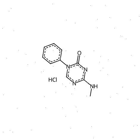 CNc1ncn(-c2ccccc2)c(=O)n1.Cl